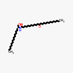 CCCCCCCCCCCCCCCC[C@H](CO)NC(=O)CCCCCCCCCCC(=O)CCCCCCCCCCCCC